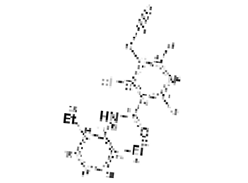 C#CCc1c(C)nc(C)c(C(=O)Nc2c(CC)cccc2CC)c1I